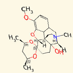 COC1=C2O[C@H]3[C@]4(CCC5(O)[C@H]6CC(C=C1)C2[C@@]35CCN6C)O[C@H](C)C[C@H](C)O4